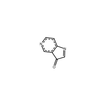 O=C1C=Nc2ccncc21